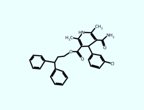 CC1=C(C(N)=O)C(c2cccc(Cl)c2)C(C(=O)OCCC(c2ccccc2)c2ccccc2)=C(C)N1